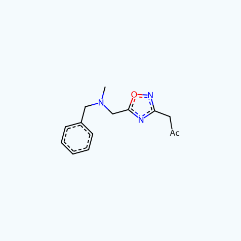 CC(=O)Cc1noc(CN(C)Cc2ccccc2)n1